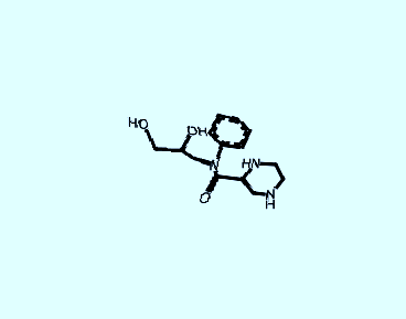 O=C(C1CNCCN1)N(CC(O)CO)c1ccccc1